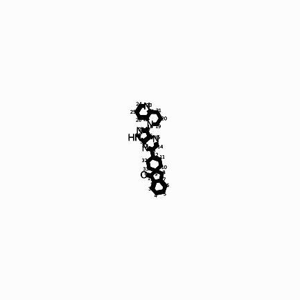 O=C1c2ccccc2CC12CC=C(c1cnc3c(N4CCCc5ncccc54)n[nH]c3n1)CC2